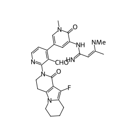 CN/C(C)=C\C(=N)Nc1cc(-c2ccnc(N3CCc4c(c(F)c5n4CCCC5)C3=O)c2C=O)cn(C)c1=O